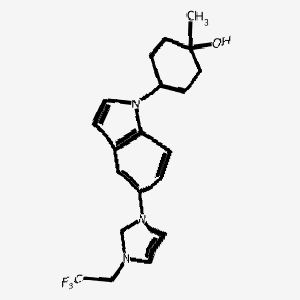 CC1(O)CCC(n2ccc3cc(N4C=CN(CC(F)(F)F)C4)ccc32)CC1